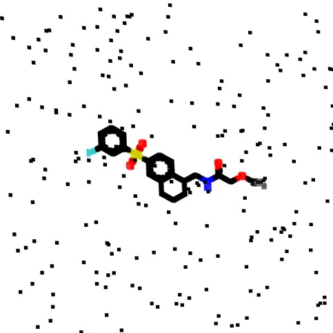 COCC(=O)NCC1CCCc2cc(S(=O)(=O)c3cccc(F)c3)ccc21